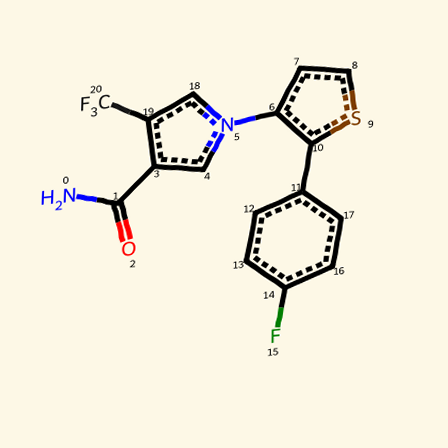 NC(=O)c1cn(-c2ccsc2-c2ccc(F)cc2)cc1C(F)(F)F